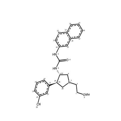 COCCN1C[C@@H](NC(=O)Nc2cnc3ccccc3c2)[C@H](c2cccc(C#N)c2)C1